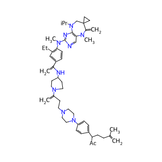 C=C(C)CCC(C(C)=O)c1ccc(N2CCN(CCC(=C)N3CCC(NC(=C)c4ccc(N(C)c5ncc6c(n5)N(C(C)C)CC5(CC5)C(=C)N6C)c(CC)c4)CC3)CC2)cc1